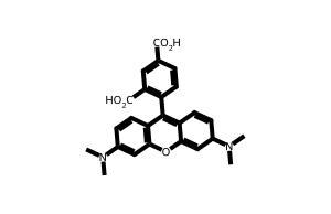 CN(C)c1ccc2c(c1)OC1=CC(N(C)C)C=CC1=C2c1ccc(C(=O)O)cc1C(=O)O